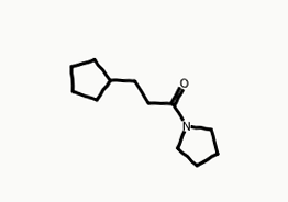 O=C(CCC1CCCC1)N1CCCC1